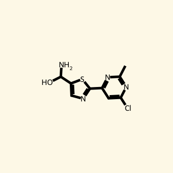 Cc1nc(Cl)cc(-c2ncc(C(N)O)s2)n1